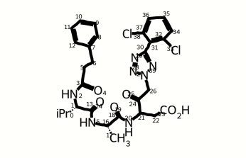 CC(C)[C@H](NC(=O)CCc1ccccc1)C(=O)N[C@@H](C)C(=O)NC(CC(=O)O)C(=O)Cn1nnc(-c2c(Cl)cccc2Cl)n1